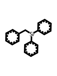 c1ccc(C[Si](c2ccccc2)c2ccccc2)cc1